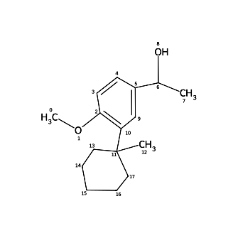 COc1ccc(C(C)O)cc1C1(C)CCCCC1